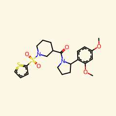 COc1ccc(C2CCCN2C(=O)C2CCCN(S(=O)(=O)c3cccs3)C2)c(OC)c1